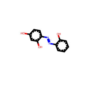 Oc1ccc(/N=N/c2ccccc2O)c(O)c1